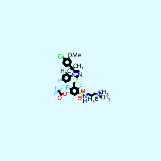 COc1cc(C(C)(C)c2cnc(SCc3c(F)ccc(S(=O)(=O)NCCC[N+](C)(C)C)c3F)n2-c2ccc(F)cc2)ccc1Cl.O=C([O-])C(F)(F)F